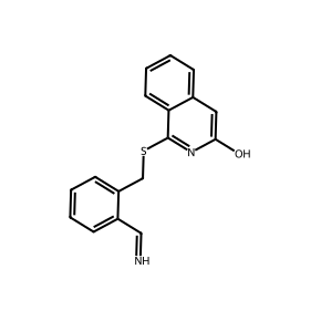 N=Cc1ccccc1CSc1nc(O)cc2ccccc12